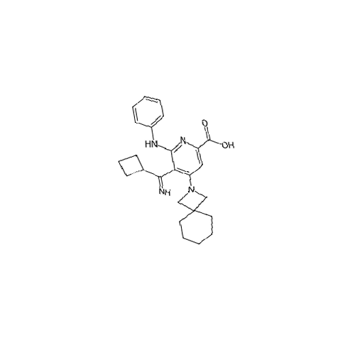 N=C(c1c(N2CC3(CCCCC3)C2)cc(C(=O)O)nc1Nc1ccccc1)C1CCC1